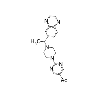 CC(=O)c1cnc(N2CCN(C(C)c3ccc4nccnc4c3)CC2)nc1